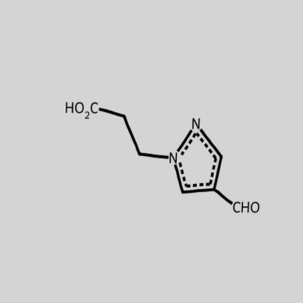 O=Cc1cnn(CCC(=O)O)c1